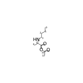 CCCCNC(C)C(=O)OC(C)=O